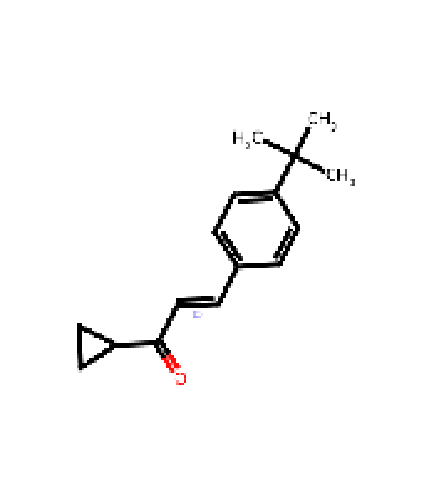 CC(C)(C)c1ccc(/C=C/C(=O)C2CC2)cc1